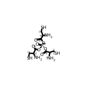 NC(CS)C(=O)OP(=O)(OC(=O)C(N)CS)OC(=O)C(N)CS